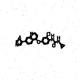 Cn1cncc1-c1ccc2c(Oc3ccc(NC(=O)NC4CC4)c(Cl)c3)ccnc2c1